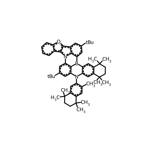 Cc1cc2c(cc1N1c3cc4c(cc3B3c5c1cc(C(C)(C)C)cc5-n1c5c3cc(C(C)(C)C)cc5c3oc5ccccc5c31)C(C)(C)CCC4(C)C)C(C)(C)CCC2(C)C